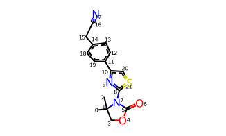 CC1(C)COC(=O)N1c1nc(-c2ccc(CC#N)cc2)cs1